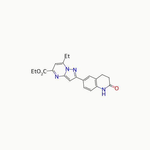 CCOC(=O)c1cc(CC)n2nc(-c3ccc4c(c3)CCC(=O)N4)cc2n1